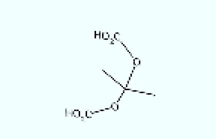 CC(C)(OC(=O)O)OC(=O)O